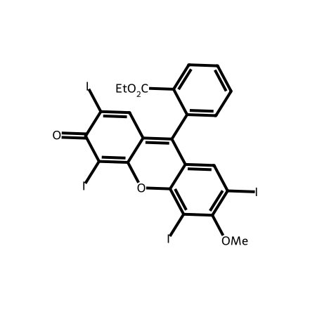 CCOC(=O)c1ccccc1-c1c2cc(I)c(=O)c(I)c-2oc2c(I)c(OC)c(I)cc12